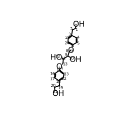 OCCc1ccc(OCC(O)C(O)COc2ccc(CCO)cc2)cc1